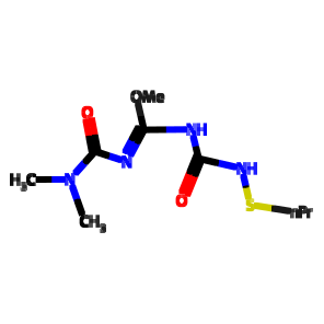 CCCSNC(=O)NC(=NC(=O)N(C)C)OC